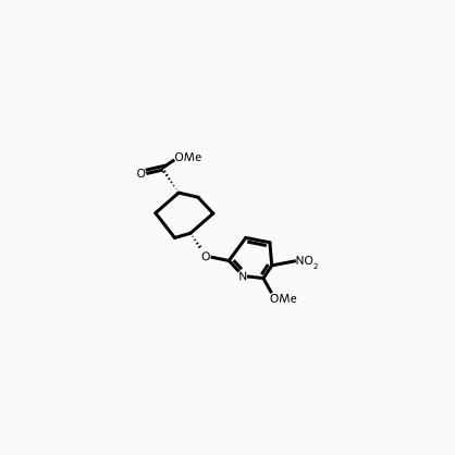 COc1nc(O[C@H]2CC[C@@H](C(=O)OC)CC2)ccc1[N+](=O)[O-]